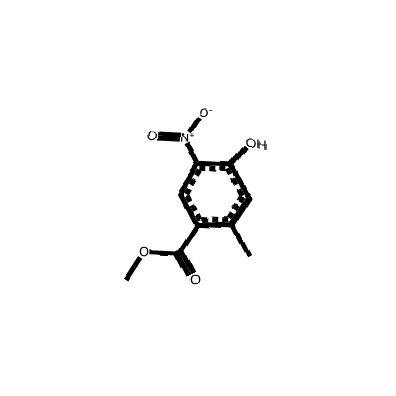 COC(=O)c1cc([N+](=O)[O-])c(O)cc1C